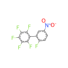 O=[N+]([O-])c1ccc(F)c(-c2c(F)c(F)c(F)c(F)c2F)c1